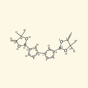 C=C1OB(c2ccc(-c3ccc(B4OC(=C)C(C)(C)O4)s3)s2)OC1(C)C